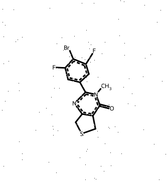 Cn1c(-c2cc(F)c(Br)c(F)c2)nc2c(c1=O)CSC2